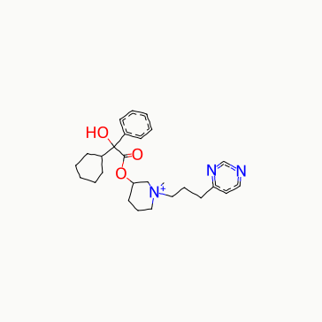 C[N+]1(CCCc2ccncn2)CCCC(OC(=O)C(O)(c2ccccc2)C2CCCCC2)C1